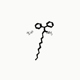 CCCCCCCCCCCC(N)C(c1ccccc1)c1ccccc1.O